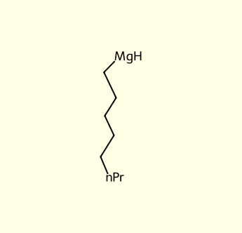 CCCCCCC[CH2][MgH]